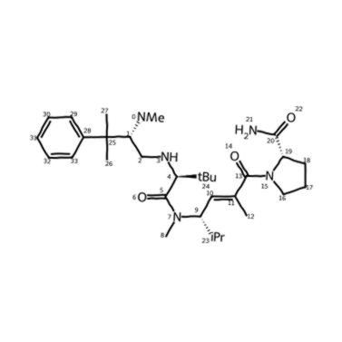 CN[C@H](CN[C@H](C(=O)N(C)[C@H](/C=C(\C)C(=O)N1CCC[C@H]1C(N)=O)C(C)C)C(C)(C)C)C(C)(C)c1ccccc1